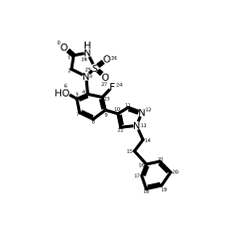 O=C1CN(c2c(O)ccc(-c3cnn(CCc4ccccc4)c3)c2F)S(=O)(=O)N1